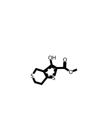 COC(=O)c1sc2c(c1O)CSCC2